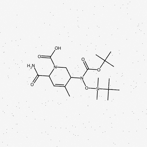 CC1=CC(C(N)=O)N(C(=O)O)CC1N(O[Si](C)(C)C(C)(C)C)C(=O)OC(C)(C)C